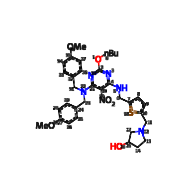 CCCCOc1nc(NCc2ccc(CN3CCC(O)C3)s2)c([N+](=O)[O-])c(N(Cc2ccc(OC)cc2)Cc2ccc(OC)cc2)n1